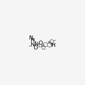 CCNC(=O)N(CCCN(C)C)C(=O)C(C)C1CCC2C3CC[C@H]4CC(C)CC[C@]4(C)C3CC[C@]12C